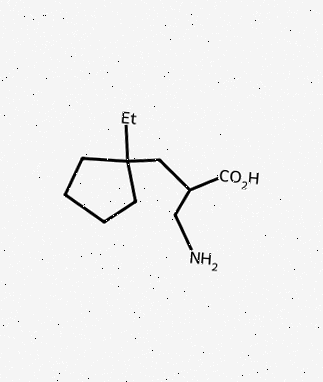 CCC1(CC(CN)C(=O)O)CCCC1